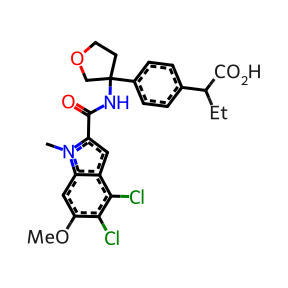 CCC(C(=O)O)c1ccc(C2(NC(=O)c3cc4c(Cl)c(Cl)c(OC)cc4n3C)CCOC2)cc1